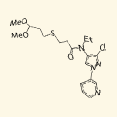 CCN(C(=O)CCSCCC(OC)OC)c1cn(-c2cccnc2)nc1Cl